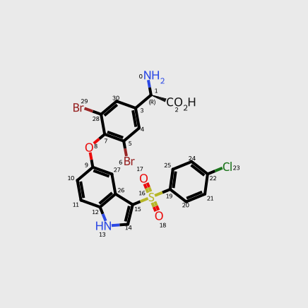 N[C@@H](C(=O)O)c1cc(Br)c(Oc2ccc3[nH]cc(S(=O)(=O)c4ccc(Cl)cc4)c3c2)c(Br)c1